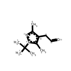 Cc1nn(C(C)(C)C)c(C)c1CC=O